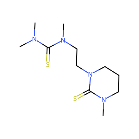 CN(C)C(=S)N(C)CCN1CCCN(C)C1=S